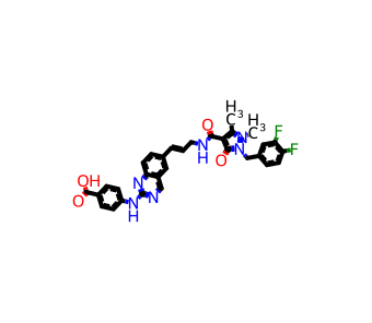 Cc1c(C(=O)NCC=Cc2ccc3nc(Nc4ccc(C(=O)O)cc4)ncc3c2)c(=O)n(Cc2ccc(F)c(F)c2)n1C